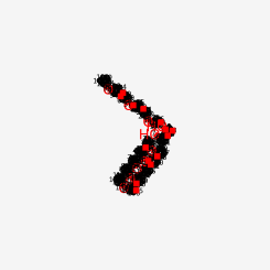 Oc1ccccc1.Oc1ccccc1.c1ccc(Oc2ccccc2)cc1.c1ccc(Oc2ccccc2)cc1.c1ccc(Oc2ccccc2)cc1.c1ccc(Oc2ccccc2)cc1.c1ccc(Oc2ccccc2)cc1.c1ccc(Oc2ccccc2)cc1.c1ccc(Oc2ccccc2)cc1.c1ccc(Oc2ccccc2)cc1